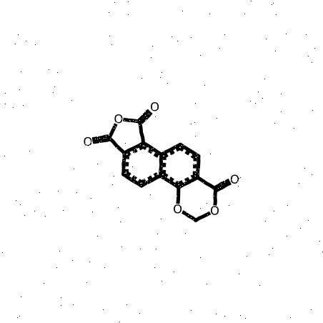 O=C1OCOc2c1ccc1c3c(ccc21)C(=O)OC3=O